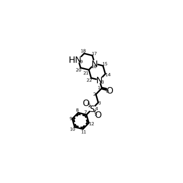 O=C(CCS(=O)(=O)c1ccccc1)N1CCN2CCNCC2C1